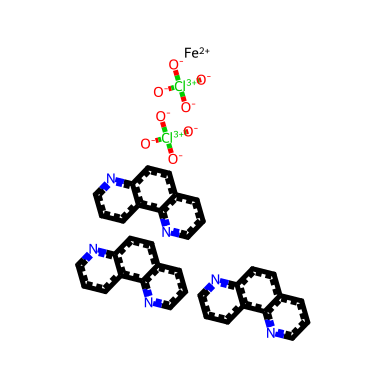 [Fe+2].[O-][Cl+3]([O-])([O-])[O-].[O-][Cl+3]([O-])([O-])[O-].c1cnc2c(c1)ccc1ncccc12.c1cnc2c(c1)ccc1ncccc12.c1cnc2c(c1)ccc1ncccc12